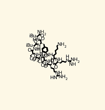 CC[C@H](C)[C@H](NC(=O)[C@H](Cc1ccccc1)NC(=O)[C@@H](NC(=O)[C@H](CC(=O)O)NC(=O)[C@H](C)NC(=O)[C@H](CO)NC(=O)[C@H](CCCNC(=N)N)NC(=O)[C@H](CCCNC(=N)N)NC(=O)[C@H](CCCCN)NC(C)=O)[C@@H](C)CC)C(N)=O